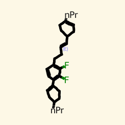 CCCC1=CCC(/C=C/CCc2ccc(C3=CCC(CCC)CC3)c(F)c2F)CC1